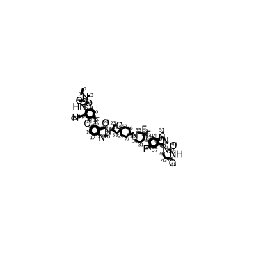 CCN(C)S(=O)(=O)Nc1ccc(F)c(Oc2ccc3ncn([C@H]4COC5(CCC(N6CC[C@@H](c7cc8c(cc7F)c(N7CCC(=O)NC7=O)nn8C)C(F)(F)C6)CC5)C4)c(=O)c3c2)c1C#N